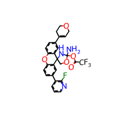 NC1(OC(=O)C(F)(F)F)NC2(CO1)c1cc(C3=CCOCC3)ccc1Oc1ccc(-c3cccnc3F)cc12